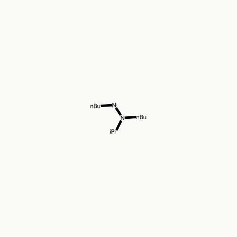 CCCC[N]N(CCCC)C(C)C